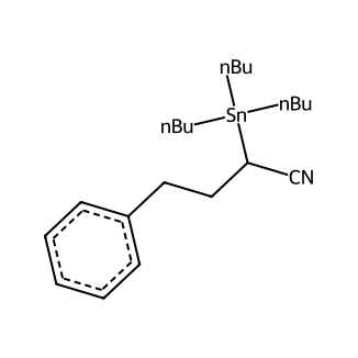 CCC[CH2][Sn]([CH2]CCC)([CH2]CCC)[CH](C#N)CCc1ccccc1